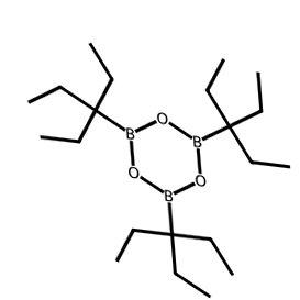 CCC(CC)(CC)B1OB(C(CC)(CC)CC)OB(C(CC)(CC)CC)O1